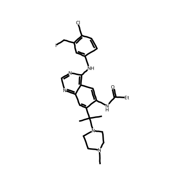 CCC(=O)Nc1cc2c(Nc3ccc(Cl)c(CI)c3)ncnc2cc1C(C)(C)N1CCN(C)CC1